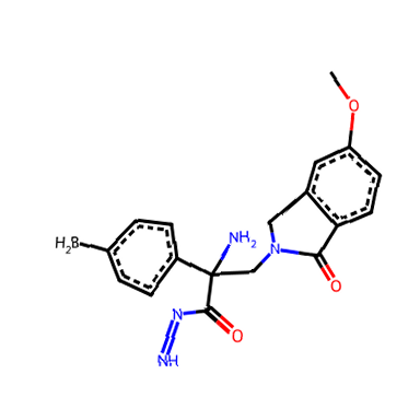 Bc1ccc(C(N)(CN2Cc3cc(OC)ccc3C2=O)C(=O)N=N)cc1